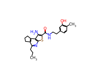 CCCc1nc2sc(C(=O)NCCc3ccc(C)c(O)c3)c(N)c2c2c1CCC2